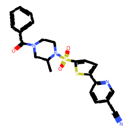 CC1CN(C(=O)c2ccccc2)CCN1S(=O)(=O)c1ccc(-c2ccc(C#N)cn2)s1